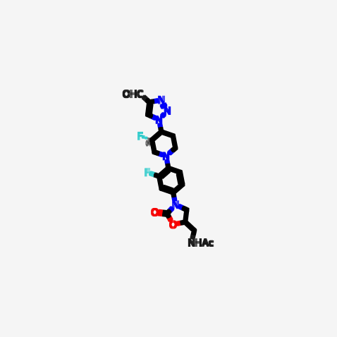 CC(=O)NCC1CN(c2ccc(N3CCC(n4cc(C=O)nn4)[C@@H](F)C3)c(F)c2)C(=O)O1